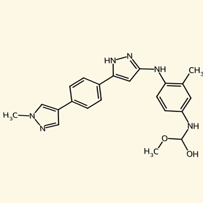 COC(O)Nc1ccc(Nc2cc(-c3ccc(-c4cnn(C)c4)cc3)[nH]n2)c(C)c1